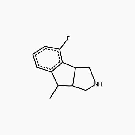 CC1c2cccc(F)c2C2CNCC12